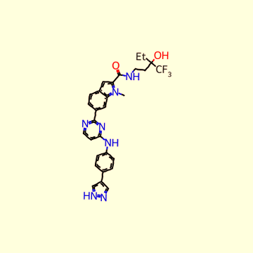 CCC(O)(CCNC(=O)c1cc2ccc(-c3nccc(Nc4ccc(-c5cn[nH]c5)cc4)n3)cc2n1C)C(F)(F)F